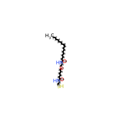 CCCCCCCC/C=C\CCCCCCCC(=O)NCCOCCCCCC(=O)NCCS